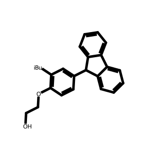 CCC(C)c1cc(C2c3ccccc3-c3ccccc32)ccc1OCCO